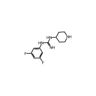 N=C(Nc1cc(F)cc(F)c1)NC1CCNCC1